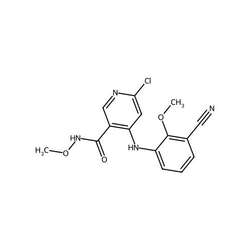 CONC(=O)c1cnc(Cl)cc1Nc1cccc(C#N)c1OC